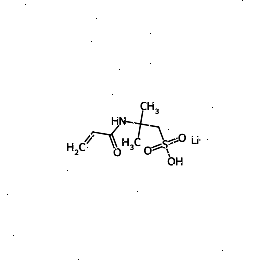 C=CC(=O)NC(C)(C)CS(=O)(=O)O.[Li]